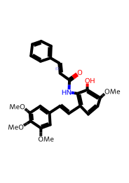 COc1ccc(C=Cc2cc(OC)c(OC)c(OC)c2)c(NC(=O)/C=C/c2ccccc2)c1O